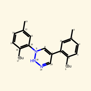 Cc1ccc(C(C)(C)C)c(C2=CN(c3cc(C)ccc3C(C)(C)C)NN=C2)c1